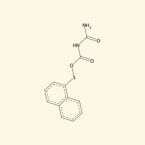 NC(=O)NC(=O)OSc1cccc2ccccc12